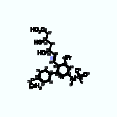 CC(C)c1nc([As](C)S(C)(=O)=O)nc(-c2ccc(F)cc2)c1/C=C/[C@@H](O)C[C@@H](O)CC(=O)O.[CaH2]